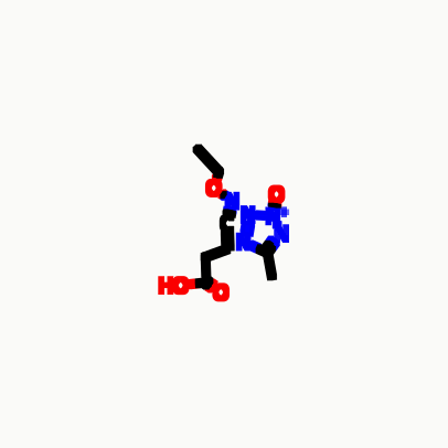 CC1=N[N+](=O)N=N1.CCON=C=CCC(=O)O